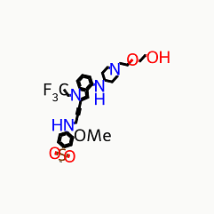 COc1cc(S(C)(=O)=O)ccc1NCC#Cc1cc2c(NC3CCN(CCOCCO)CC3)cccc2n1CC(F)(F)F